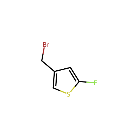 Fc1cc(CBr)cs1